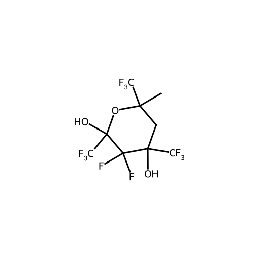 CC1(C(F)(F)F)CC(O)(C(F)(F)F)C(F)(F)C(O)(C(F)(F)F)O1